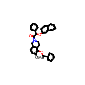 COc1ccc2c(c1OCc1ccccc1)CCN(C(=O)C(Oc1ccc3ccccc3c1)c1ccccc1)C2